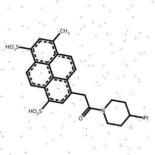 Cc1cc(S(=O)(=O)O)c2ccc3c(S(=O)(=O)O)cc(CC(=O)N4CCC(C(C)C)CC4)c4ccc1c2c43